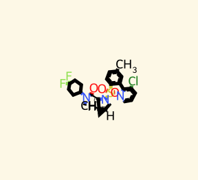 Cc1ccc(S(=O)(=O)N2C[C@@H]3C[C@@H]3[C@H]2C(=O)N(C)C2CCC(F)(F)CC2)c(-c2ncccc2Cl)c1